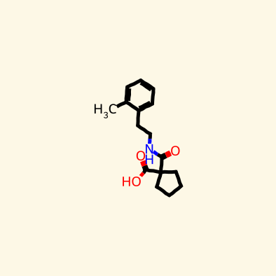 Cc1ccccc1CCNC(=O)C1(C(=O)O)CCCC1